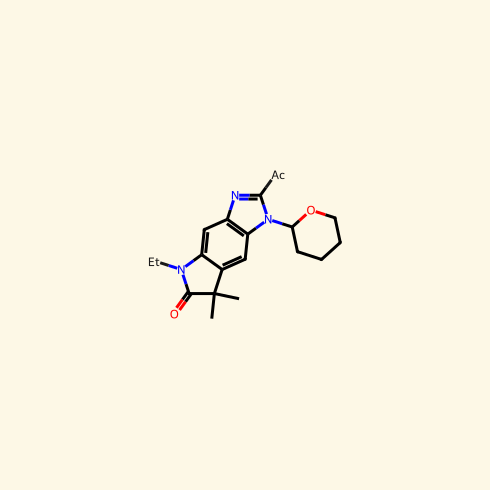 CCN1C(=O)C(C)(C)c2cc3c(cc21)nc(C(C)=O)n3C1CCCCO1